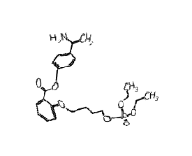 C=C(N)c1ccc(OC(=O)c2ccccc2OCCCCOP(=O)(OCC)OCC)cc1